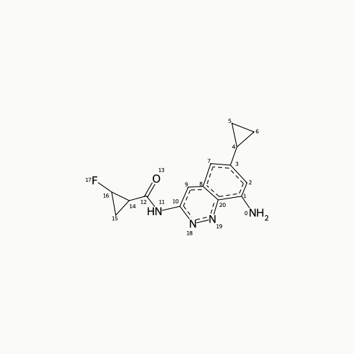 Nc1cc(C2CC2)cc2cc(NC(=O)C3CC3F)nnc12